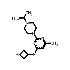 Cc1cc(NC2CNC2)nc(N2CCN(C(C)C)CC2)n1